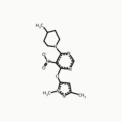 Cc1cc(Oc2ncnc(N3CCC(C)CC3)c2[N+](=O)[O-])n(C)n1